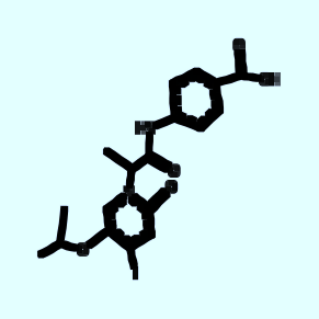 CC(C)Oc1cn(C(C)C(=O)Nc2ccc(C(=O)O)cc2)c(=O)cc1I